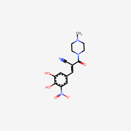 CN1CCN(C(=O)C(C#N)=Cc2cc(O)c(O)c([N+](=O)[O-])c2)CC1